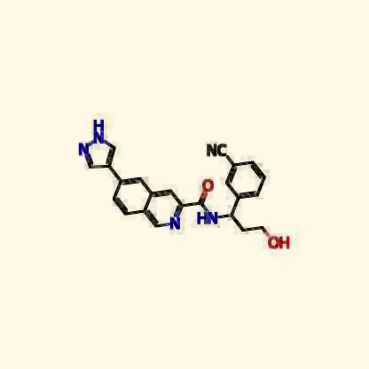 N#Cc1cccc(C(CCO)NC(=O)c2cc3cc(-c4cn[nH]c4)ccc3cn2)c1